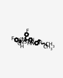 CN(C)CCn1ccc2cc(Nc3nccc(-c4sc(NS(=O)(=O)c5ccc(F)cc5)nc4-c4ccc(F)cc4)n3)ccc21